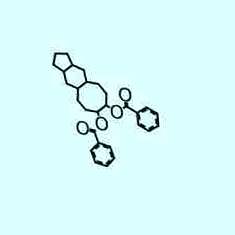 O=C(OC1CCC2CC3CCCC3CC2CCC1OC(=O)c1ccccc1)c1ccccc1